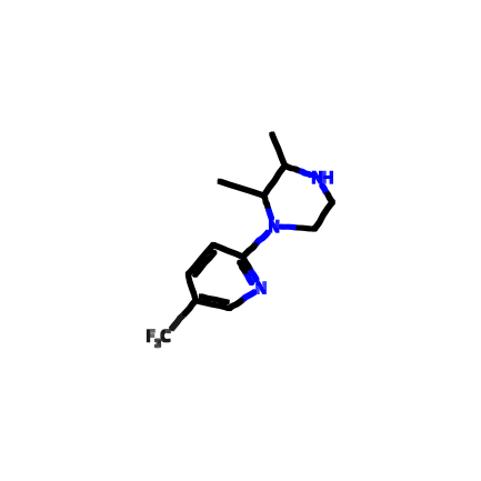 CC1NCCN(c2ccc(C(F)(F)F)cn2)C1C